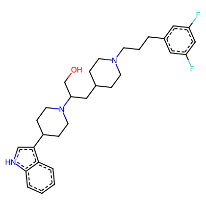 OCC(CC1CCN(CCCc2cc(F)cc(F)c2)CC1)N1CCC(c2c[nH]c3ccccc23)CC1